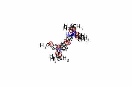 CC(=O)Cc1cccc(CN(CC(=O)OC(C)(C)C)C(=O)c2cccc3cc(OC(=O)c4ccc(N/C(=N\C(=O)OC(C)(C)C)NC(=O)OC(C)(C)C)cc4)ccc23)c1